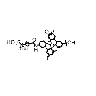 Cc1cc(F)cc(C)c1Oc1ccc(C(C)(C)O)cc1-c1cn(C)c(=O)cc1OC1CCC(NC(=O)C23CC(N(C(=O)O)C(C)(C)C)(C2)C3)CC1